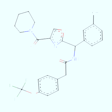 Cc1cccc(C(NC(=O)Cc2ccc(OC(F)(F)F)cc2)c2nc(C(=O)N3CCCCC3)co2)c1